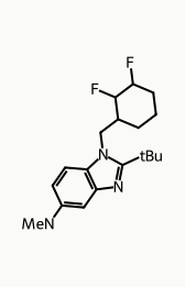 CNc1ccc2c(c1)nc(C(C)(C)C)n2CC1CCCC(F)C1F